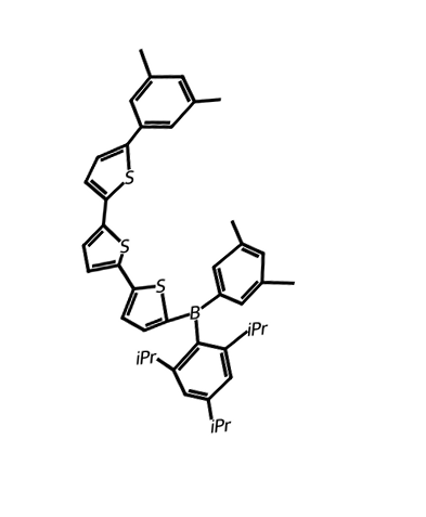 Cc1cc(C)cc(B(c2ccc(-c3ccc(-c4ccc(-c5cc(C)cc(C)c5)s4)s3)s2)c2c(C(C)C)cc(C(C)C)cc2C(C)C)c1